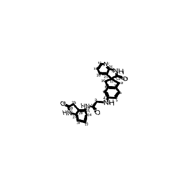 O=C(CNc1ccc2c(c1)CC1(C2)C(=O)Nc2ncccc21)Nc1cccc2c1CC(=O)N2